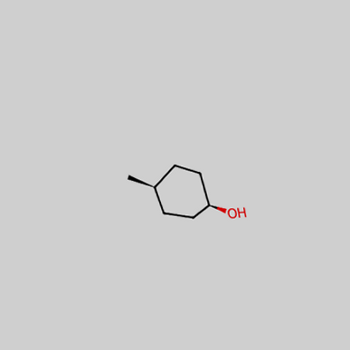 C[C@H]1CC[C@@H](O)CC1